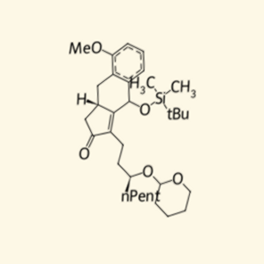 CCCCC[C@@H](CCC1=C2C(O[Si](C)(C)C(C)(C)C)c3cccc(OC)c3C[C@H]2CC1=O)OC1CCCCO1